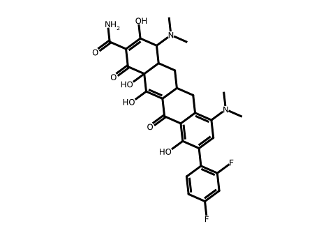 CN(C)c1cc(-c2ccc(F)cc2F)c(O)c2c1CC1CC3C(N(C)C)C(O)=C(C(N)=O)C(=O)C3(O)C(O)=C1C2=O